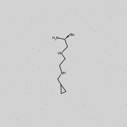 CC(C)(C)[C@H](N)CNCCNCC1CC1